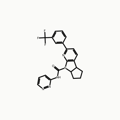 O=C(Nc1cccnn1)N1c2nc(-c3cccc(C(F)(F)F)c3)ccc2C2CCCC21